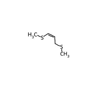 CS/C=C\CSC